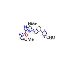 CNc1cc(N2CCc3c(-c4cnc(C=O)cn4)cccc32)nn2c(C(=O)N[C@@H]3CC[C@H]3OC)cnc12